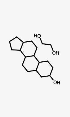 OC1CCC2C(CCC3C4CCCC4CCC23)C1.OCCO